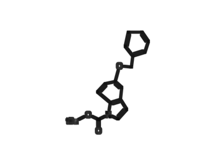 CC(C)(C)OC(=O)n1ccc2cc(OCc3ccccc3)ccc21